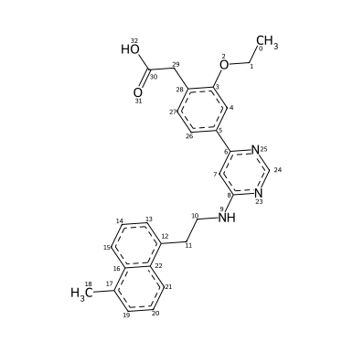 CCOc1cc(-c2cc(NCCc3cccc4c(C)cccc34)ncn2)ccc1CC(=O)O